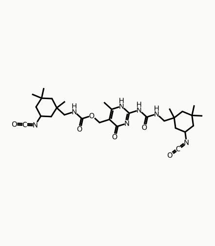 Cc1[nH]c(NC(=O)NCC2(C)CC(N=C=O)CC(C)(C)C2)nc(=O)c1COC(=O)NCC1(C)CC(N=C=O)CC(C)(C)C1